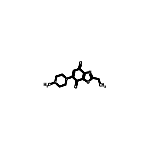 CCc1nc2c(o1)C(=O)C(N1CCN(C)CC1)=CC2=O